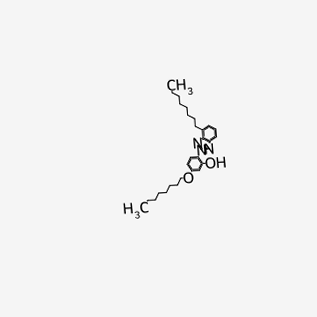 CCCCCCCCOc1ccc(-n2nc3cccc(CCCCCCCC)c3n2)c(O)c1